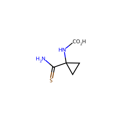 NC(=S)C1(NC(=O)O)CC1